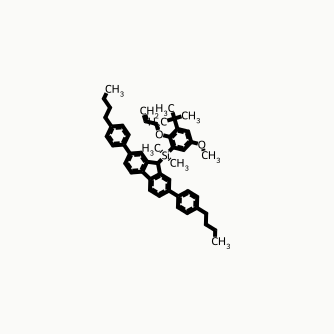 C=CCOc1c(C(C)(C)C)cc(OC)cc1[Si](C)(C)C1c2cc(-c3ccc(CCCC)cc3)ccc2-c2ccc(-c3ccc(CCCC)cc3)cc21